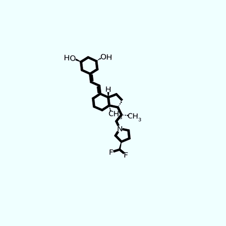 C[C@H](CN1CC[C@@H](C(F)F)C1)[C@H]1CC[C@H]2/C(=C/C=C3C[C@@H](O)C[C@H](O)C3)CCC[C@]12C